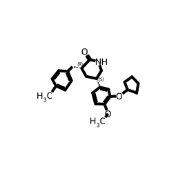 COc1ccc([C@H]2CNC(=O)[C@@H](Cc3ccc(C)cc3)C2)cc1OC1CCCC1